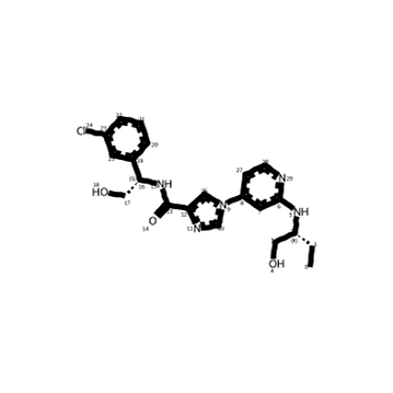 CC[C@H](CO)Nc1cc(-n2cnc(C(=O)N[C@H](CO)c3cccc(Cl)c3)c2)ccn1